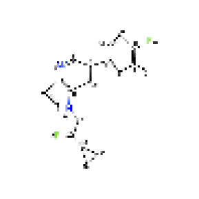 Cc1cc(-c2cnc3ccn(CC(F)C4CC4)c3c2)ccc1F